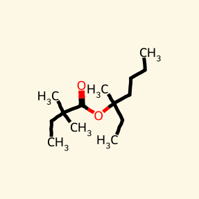 CCCCC(C)(CC)OC(=O)C(C)(C)CC